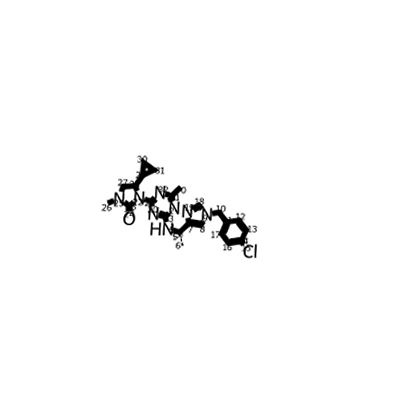 Cc1nc(N[C@@H](C)c2cn(Cc3ccc(Cl)cc3)cn2)nc(N2C(=O)N(C)CC2C2CC2)n1